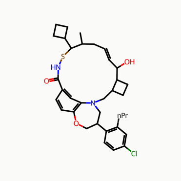 CCCc1cc(Cl)ccc1C1COc2ccc3cc2N(C1)CC1CCC1C(O)/C=C/CC(C)C(C1CCC1)SNC3=O